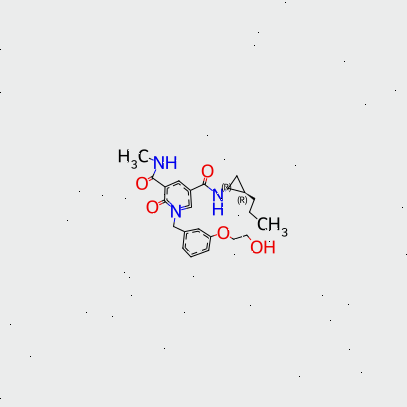 CCC[C@@H]1C[C@H]1NC(=O)c1cc(C(=O)NC)c(=O)n(Cc2cccc(OCCO)c2)c1